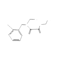 CCC(C)CN(Cc1ccccc1C)C(=O)C(=O)OCC(F)(F)F